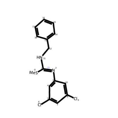 CS/C(=N\c1cc(Cl)cc(Cl)c1)NCc1ccccc1